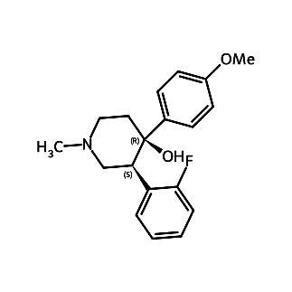 COc1ccc([C@@]2(O)CCN(C)C[C@@H]2c2ccccc2F)cc1